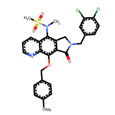 COc1ccc(COc2c3c(c(N(C)S(C)(=O)=O)c4cccnc24)CN(Cc2ccc(Cl)c(Cl)c2)C3=O)cc1